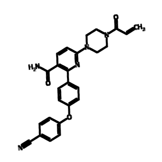 C=CC(=O)N1CCN(c2ccc(C(N)=O)c(-c3ccc(Oc4ccc(C#N)cc4)cc3)n2)CC1